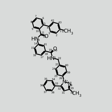 Cc1ccc(-c2ccccc2C(=O)Nc2cccc(C(=O)NCc3ccc(-n4nc(C)cc4-c4ccccc4)cc3)c2)cc1